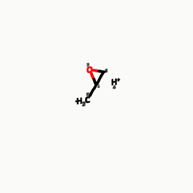 [CH2]C1CO1.[H+]